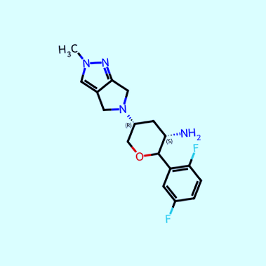 Cn1cc2c(n1)CN([C@H]1COC(c3cc(F)ccc3F)[C@@H](N)C1)C2